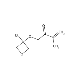 C=C(C)C(=O)COC1(CC)COC1